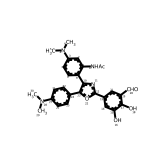 CC(=O)Nc1cc(N(C)C)ccc1-c1nc(-c2cc(O)c(O)c(C=O)c2)oc1-c1ccc(N(C)C)cc1